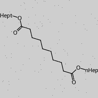 CCCCCCCOC(=O)CCCCCCCCC(=O)OCCCCCCC